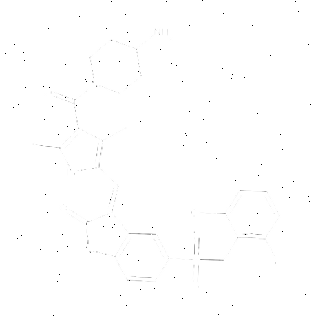 Cc1[nH]c(/C=C2\C(=O)Nc3ccc(S(=O)(=O)Cc4c(Cl)cccc4Cl)cc32)c(C)c1C(=O)N1CCC(N)CC1